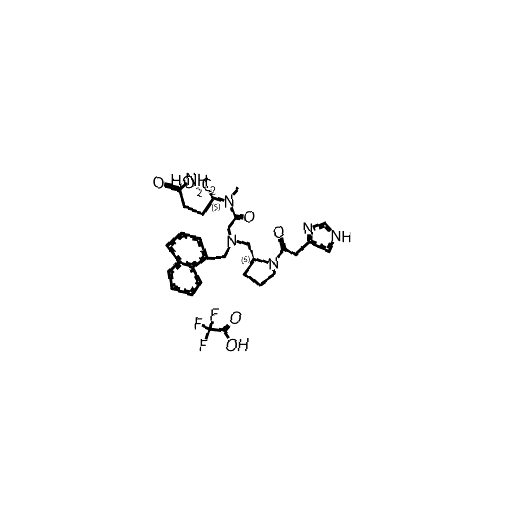 CN(C(=O)CN(Cc1cccc2ccccc12)C[C@@H]1CCCN1C(=O)Cc1c[nH]cn1)[C@@H](CCC(N)=O)C(=O)O.O=C(O)C(F)(F)F